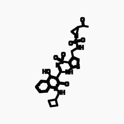 CC(=O)C1CN1S(=O)(=O)NCc1csc2c1S(=O)(=O)N=C(c1c(O)c3ccccc3n(NC3CCC3)c1=O)N2